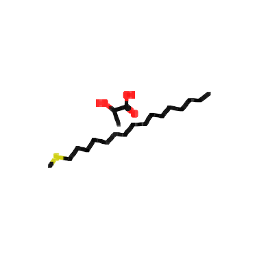 CC(O)C(=O)O.CCCCCCCCCCCCCCCCSC